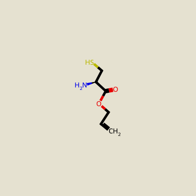 C=CCOC(=O)[C@@H](N)CS